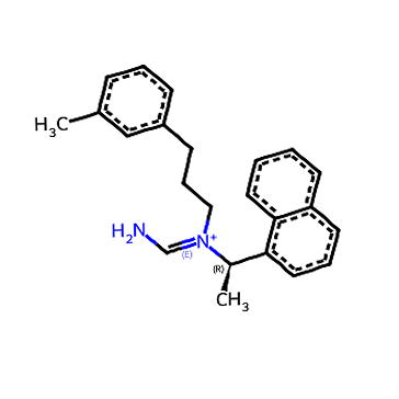 Cc1cccc(CCC/[N+](=C\N)[C@H](C)c2cccc3ccccc23)c1